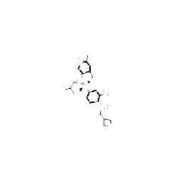 Cc1cc(C)c(N(CC(C)C)S(=O)(=O)c2ccc(NCC3COC3)c(N)c2)cn1